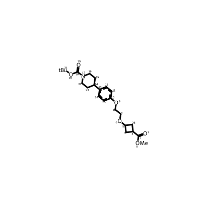 COC(=O)C1CC(OCCOc2ccc(C3CCN(C(=O)OC(C)(C)C)CC3)cc2)C1